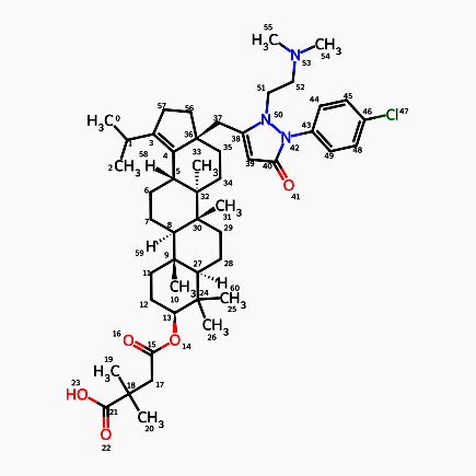 CC(C)C1=C2[C@H]3CC[C@@H]4[C@@]5(C)CC[C@H](OC(=O)CC(C)(C)C(=O)O)C(C)(C)[C@@H]5CC[C@@]4(C)[C@]3(C)CC[C@@]2(Cc2cc(=O)n(-c3ccc(Cl)cc3)n2CCN(C)C)CC1